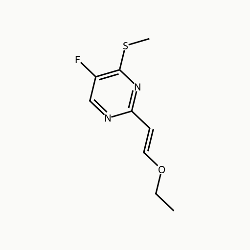 CCOC=Cc1ncc(F)c(SC)n1